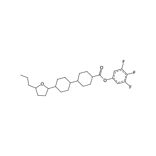 CCCC1CCC(C2CCC(C3CCC(C(=O)Oc4cc(F)c(F)c(F)c4)CC3)CC2)O1